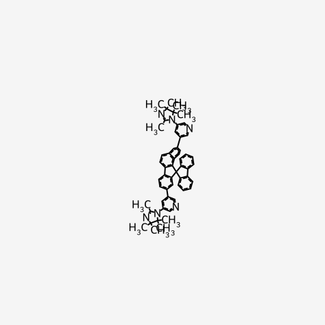 CC1=NC(C)(C)C(C)(C)N1c1cncc(-c2ccc3c(c2)C2(c4ccccc4-c4ccccc42)c2c-3ccc3cc(-c4cncc(N5C(C)=NC(C)(C)C5(C)C)c4)ccc23)c1